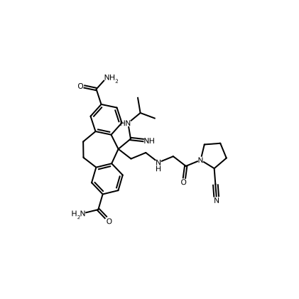 CC(C)NC(=N)C1(CCNCC(=O)N2CCCC2C#N)c2ccc(C(N)=O)cc2CCc2cc(C(N)=O)ccc21